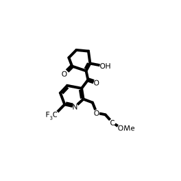 COCCOCc1nc(C(F)(F)F)ccc1C(=O)C1=C(O)CCCC1=O